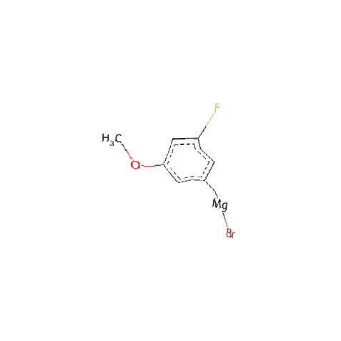 COc1cc(F)c[c]([Mg][Br])c1